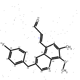 COc1c(C)cc(/C=C/C=O)c2cc(Cc3ccc(F)cc3)cnc12